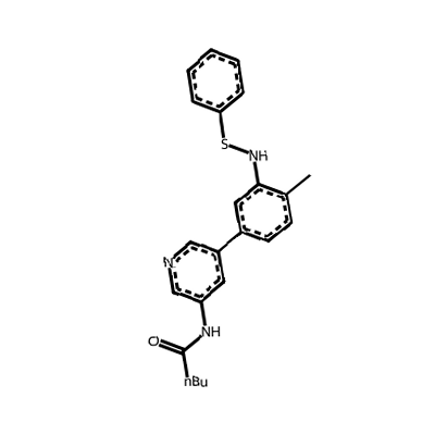 CCCCC(=O)Nc1cncc(-c2ccc(C)c(NSc3ccccc3)c2)c1